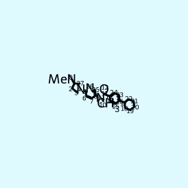 CNC1CCN(c2ccc(N(C)C(=O)c3ccc(C4CCCCC4)cc3)cn2)C1